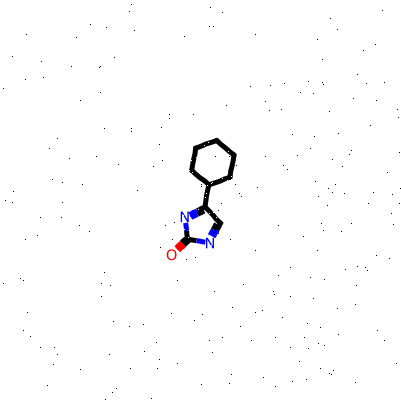 O=C1N=CC(C2CCCCC2)=N1